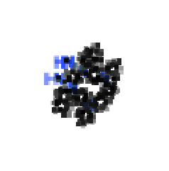 N=Cc1cc(C=N)c(-n2c3ccc(N(c4ccccc4)c4ccccc4)cc3c3c4ccccc4ccc32)cc1-n1c2ccc(N(c3ccccc3)c3ccccc3)cc2c2c3ccccc3ccc21